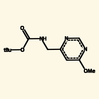 COc1cc(CNC(=O)OC(C)(C)C)ncn1